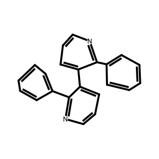 c1ccc(-c2ncccc2-c2cccnc2-c2ccccc2)cc1